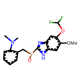 COc1cc2[nH]c([S+]([O-])Cc3ccccc3N(C)C)nc2cc1OC(F)F